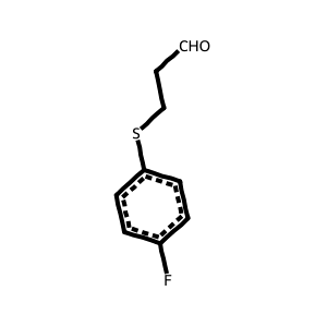 O=CCCSc1ccc(F)cc1